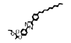 CCCCCCCCCCc1ccc(-c2cnc(-c3ccc(OC(C)C(=O)OCC)cc3)nc2)cc1